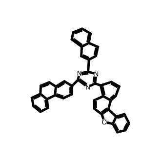 c1ccc2cc(-c3nc(-c4ccc5c(ccc6ccccc65)c4)nc(-c4cccc5c4ccc4oc6ccccc6c45)n3)ccc2c1